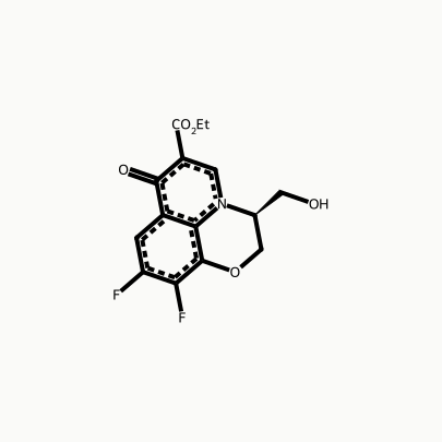 CCOC(=O)c1cn2c3c(c(F)c(F)cc3c1=O)OC[C@@H]2CO